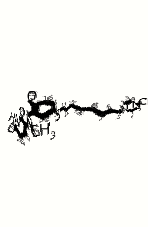 CN1CCN(CCCCCCCCSc2ccc(C=O)c(CN(C)C3CCC(=O)NC3=O)c2)CC1